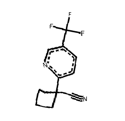 N#CC1(c2ccc(C(F)(F)F)cn2)CCC1